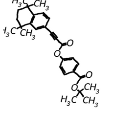 CC(C)(C)OC(=O)c1ccc(OC(=O)C#Cc2ccc3c(c2)C(C)(C)CCC3(C)C)cc1